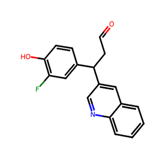 O=CCC(c1ccc(O)c(F)c1)c1cnc2ccccc2c1